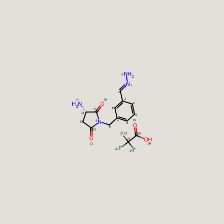 NN=Cc1cccc(CN2C(=O)C[C@H](N)C2=O)c1.O=C(O)C(F)(F)F